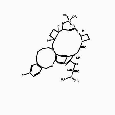 CN(C)S(=O)(=O)NC(=O)[C@]1(O)CC(=O)N2CC[C@@H]2C/C=C/C(O[Si](C)(C)C(C)(C)C)[C@@H]2CC[C@H]2CN2CCCCc3cc(Cl)ccc3COc3ccc1cc32